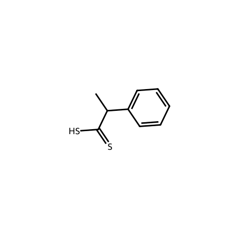 CC(C(=S)S)c1ccccc1